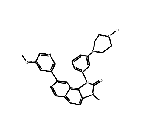 COc1cncc(-c2ccc3ncc4c(c3c2)n(-c2cccc(N3CCN(Cl)CC3)c2)c(=O)n4C)c1